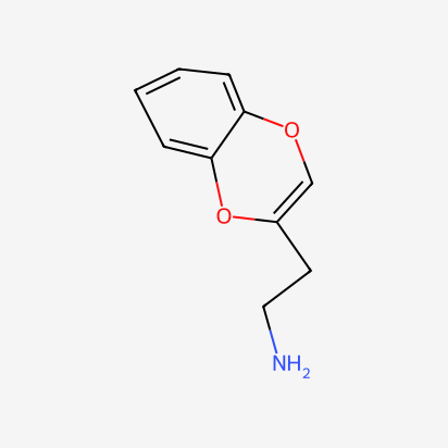 NCCC1=COc2ccccc2O1